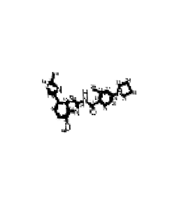 COc1ccc(-c2csc(C)n2)c2sc(NC(=O)c3ccc(N4CCCC4)cc3C)nc12